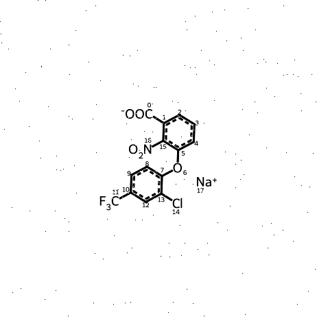 O=C([O-])c1cccc(Oc2ccc(C(F)(F)F)cc2Cl)c1[N+](=O)[O-].[Na+]